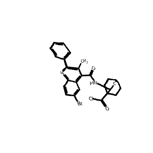 Cc1c(-c2ccccc2)nc2ccc(Br)cc2c1C(=O)NC1CC2CCC1(C(=O)Cl)CC2